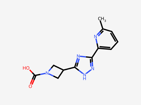 Cc1cccc(-c2n[nH]c(C3CN(C(=O)O)C3)n2)n1